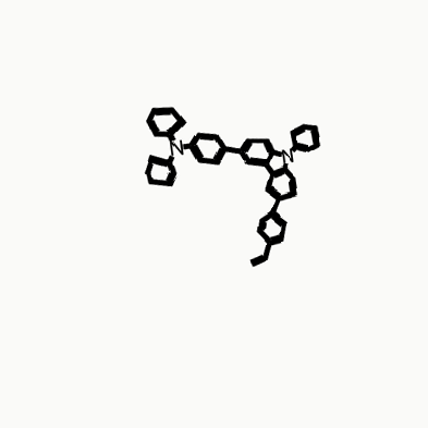 C=Cc1ccc(-c2ccc3c(c2)c2cc(-c4ccc(N(C5=CCCC=C5)c5ccccc5)cc4)ccc2n3-c2ccccc2)cc1